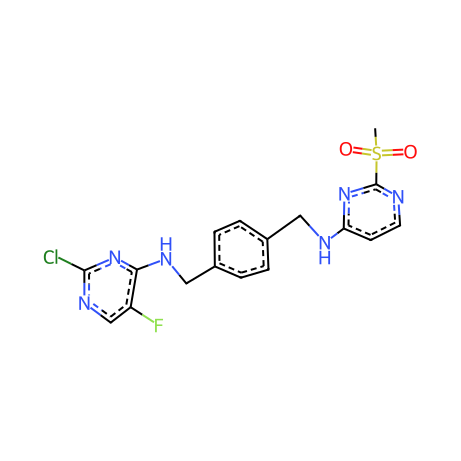 CS(=O)(=O)c1nccc(NCc2ccc(CNc3nc(Cl)ncc3F)cc2)n1